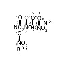 O=[N+]([O-])[O-].O=[N+]([O-])[O-].O=[N+]([O-])[O-].O=[N+]([O-])[O-].O=[N+]([O-])[O-].[Bi+3].[Ni+2]